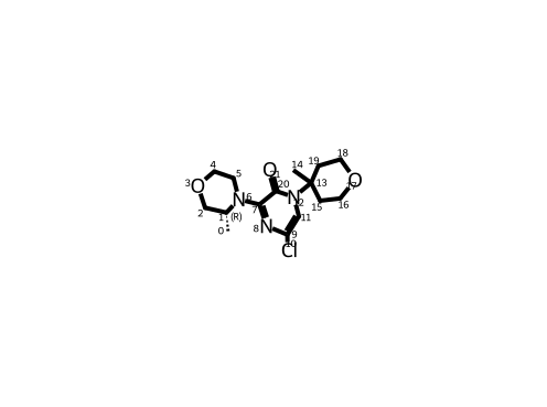 C[C@@H]1COCCN1c1nc(Cl)cn(C2(C)CCOCC2)c1=O